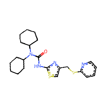 O=C(Nc1nc(CSc2ccccn2)cs1)N(C1CCCCC1)C1CCCCC1